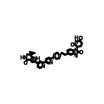 Cn1c(=O)n(C2CCC(=O)NC2=O)c2ccc(CCN3CCN(c4ccc(-c5cc(-c6cc7c([nH]6)C6(CC6)CNC7=O)ccn5)cn4)CC3)cc21